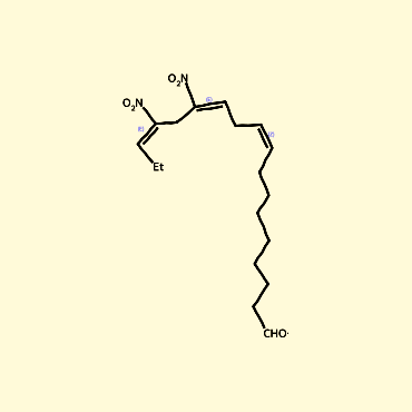 CC/C=C(\C/C(=C\C/C=C\CCCCCCC[C]=O)[N+](=O)[O-])[N+](=O)[O-]